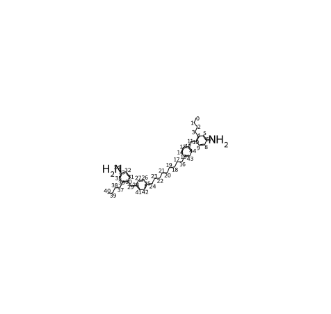 CCCCc1cc(N)ccc1Cc1ccc(CCCCCCCCCc2ccc(Cc3ccc(N)cc3CCCC)cc2)cc1